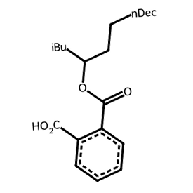 CCCCCCCCCCCCC(OC(=O)c1ccccc1C(=O)O)C(C)CC